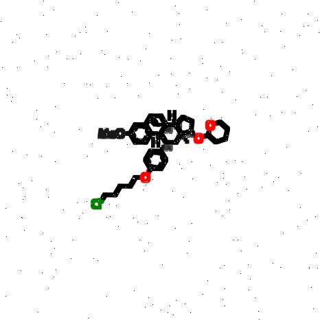 C=C[C@@]12CCc3cc(OC)ccc3[C@H]1[C@@H](c1ccc(OCCCCCCl)cc1)C[C@]1(C)[C@@H](OC3CCCCO3)CC[C@H]12